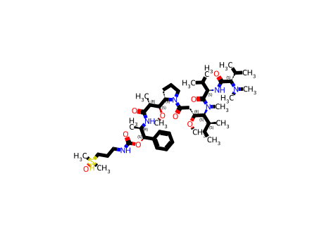 CC[C@H](C)[C@@H]([C@@H](CC(=O)N1CCC[C@H]1[C@@H](OC)[C@@H](C)C(=O)N[C@H](C)[C@@H](OC(=O)NCCC[SH](C)(C)=O)c1ccccc1)OC)N(C)C(=O)[C@@H](NC(=O)[C@H](C(C)C)N(C)C)C(C)C